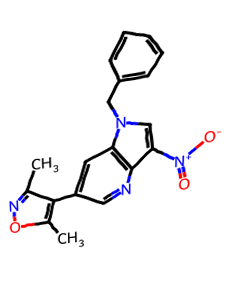 Cc1noc(C)c1-c1cnc2c([N+](=O)[O-])cn(Cc3ccccc3)c2c1